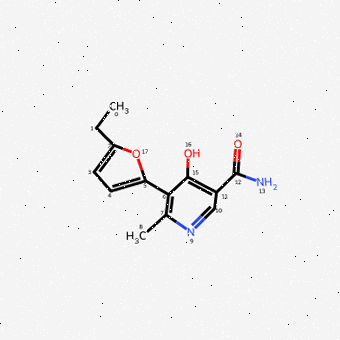 CCc1ccc(-c2c(C)ncc(C(N)=O)c2O)o1